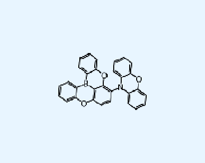 c1ccc2c(c1)Oc1ccc(N3c4ccccc4Oc4ccccc43)c3c1B2c1ccccc1O3